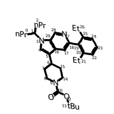 CCCC(CCC)n1cc(C2CCN(C(=O)OC(C)(C)C)CC2)c2cc(-c3c(CC)cccc3CC)ncc21